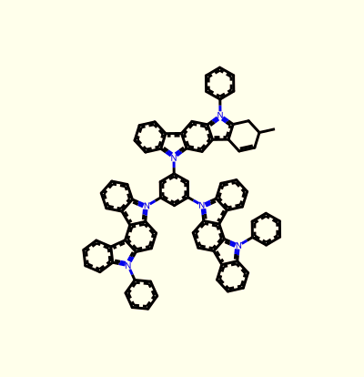 CC1C=Cc2c(n(-c3ccccc3)c3cc4c5ccccc5n(-c5cc(-n6c7ccccc7c7c8c9ccccc9n(-c9ccccc9)c8ccc76)cc(-n6c7ccccc7c7c6ccc6c8ccccc8n(-c8ccccc8)c67)c5)c4cc23)C1